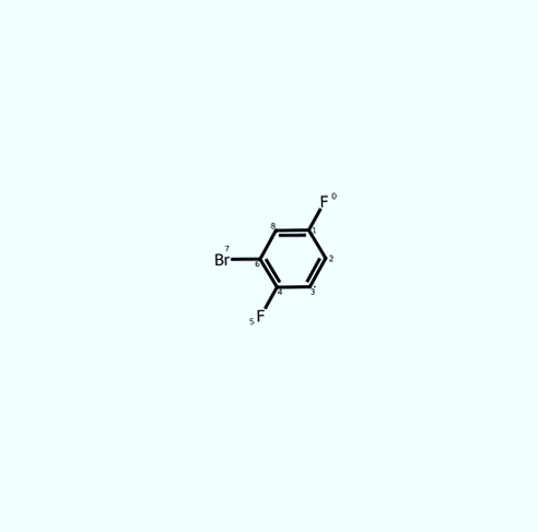 Fc1c[c]c(F)c(Br)c1